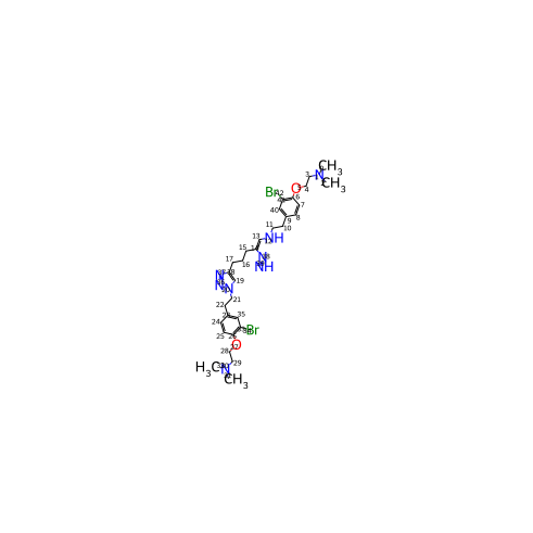 CN(C)CCOc1ccc(CCN/C=C(/CCCc2cn(CCc3ccc(OCCN(C)C)c(Br)c3)nn2)N=N)cc1Br